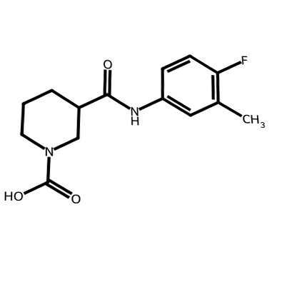 Cc1cc(NC(=O)C2CCCN(C(=O)O)C2)ccc1F